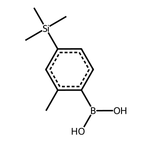 Cc1cc([Si](C)(C)C)ccc1B(O)O